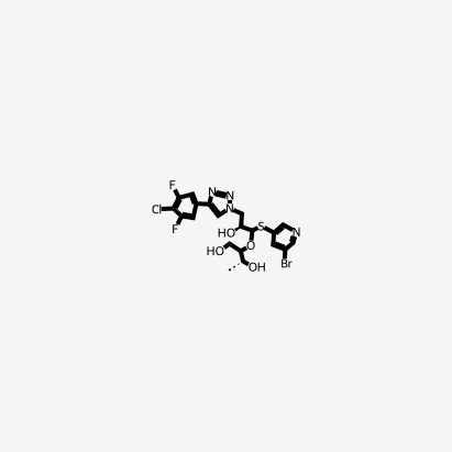 C[C@@H](O)C(CO)OC(Sc1cncc(Br)c1)[C@@H](O)Cn1cc(-c2cc(F)c(Cl)c(F)c2)nn1